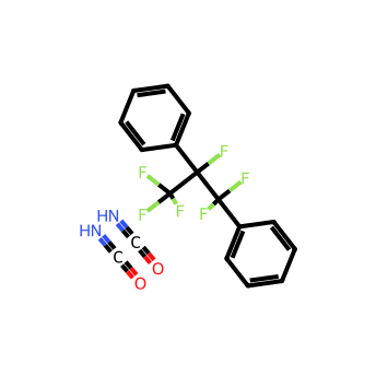 FC(F)(F)C(F)(c1ccccc1)C(F)(F)c1ccccc1.N=C=O.N=C=O